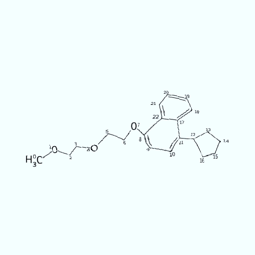 COCCOCCOc1ccc(C2CCCC2)c2ccccc12